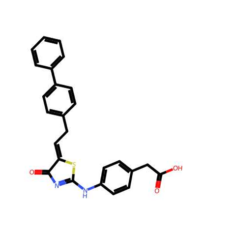 O=C(O)Cc1ccc(NC2=NC(=O)C(=CCc3ccc(-c4ccccc4)cc3)S2)cc1